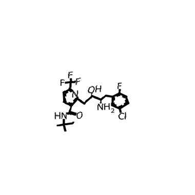 CC(C)(C)NC(=O)c1ccc(C(F)(F)F)nc1C[C@H](O)[C@H](N)Cc1cc(Cl)ccc1F